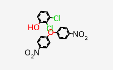 O=[N+]([O-])c1ccc(Oc2ccc([N+](=O)[O-])cc2)cc1.Oc1cccc(Cl)c1Cl